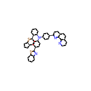 c1cc2ccc(-c3ccccc3N(c3ccc(-c4ccc5ccc6cccnc6c5n4)cc3)c3ccc(-c4nc5ccccc5s4)cc3)sc-2c1